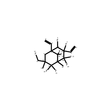 C=CC1(F)C(F)C2(C=C)CC(C)(CF)C(F)(F)C(C)(C1(F)F)C2(F)F